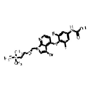 C[Si](C)(C)CCOCn1cc(Br)c2c(Sc3c(F)cc(NC(=O)O)cc3F)ccnc21